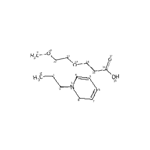 CCCN1C=CC=CC1.COCCOCCC(=O)O